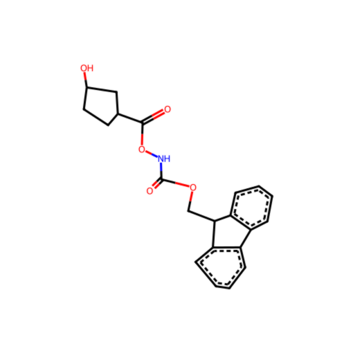 O=C(NOC(=O)C1CCC(O)C1)OCC1c2ccccc2-c2ccccc21